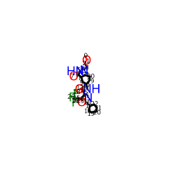 COCCn1[nH]c(=O)c2cc(NC(=O)c3nc(-c4ccccc4)oc3C(F)(F)F)ccc21